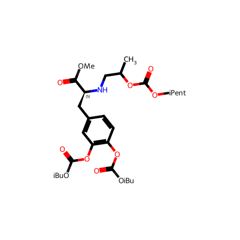 CCCC(C)OC(=O)OC(C)CN[C@@H](Cc1ccc(OC(=O)OCC(C)C)c(OC(=O)OCC(C)C)c1)C(=O)OC